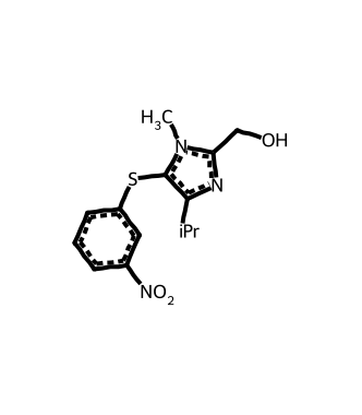 CC(C)c1nc(CO)n(C)c1Sc1cccc([N+](=O)[O-])c1